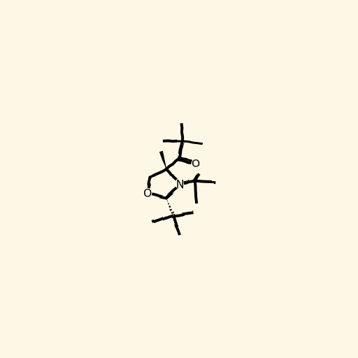 CC(C)(C)C(=O)[C@@]1(C)CO[C@@H](C(C)(C)C)N1C(C)(C)C